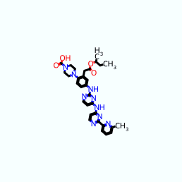 CCC(C)OC(=O)Cc1cc(Nc2nccc(Nc3ccnc(-c4cccc(C)n4)n3)n2)ccc1N1CCN(C(=O)O)CC1